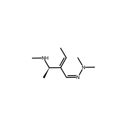 C/C=C(/C=N\N(C)C)[C@@H](C)NC